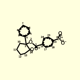 O=C(OC1(c2ccccc2)CCCCC1=O)c1ccc([N+](=O)[O-])cc1